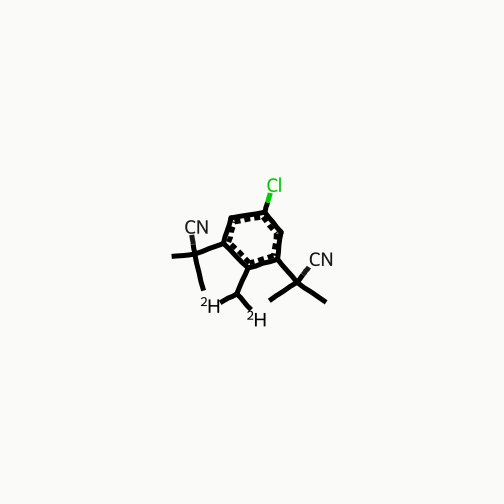 [2H]C([2H])c1c(C(C)(C)C#N)cc(Cl)cc1C(C)(C)C#N